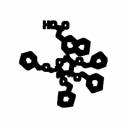 O=C(O)Cc1cc([C@@H]2O[C@H](COCc3ccccc3)[C@@H](OCc3ccccc3)[C@H](OCc3ccccc3)[C@H]2OCc2ccccc2)c2ccccc2c1